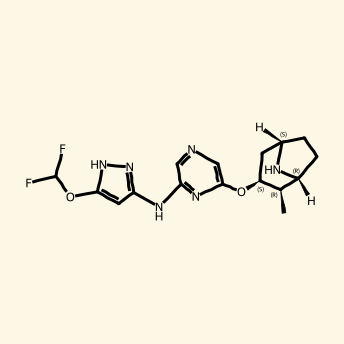 C[C@H]1[C@@H](Oc2cncc(Nc3cc(OC(F)F)[nH]n3)n2)C[C@@H]2CC[C@H]1N2